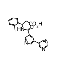 Cc1ccccc1C(CC(=O)O)NC(=O)c1cncc(-c2cncnc2)c1